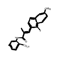 COc1ccc2c(F)c(/C=C(\C)C(=O)Nc3ccccc3C(=O)O)ccc2c1